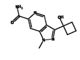 Cn1nc(C2(O)CCC2)c2cnc(C(N)=O)cc21